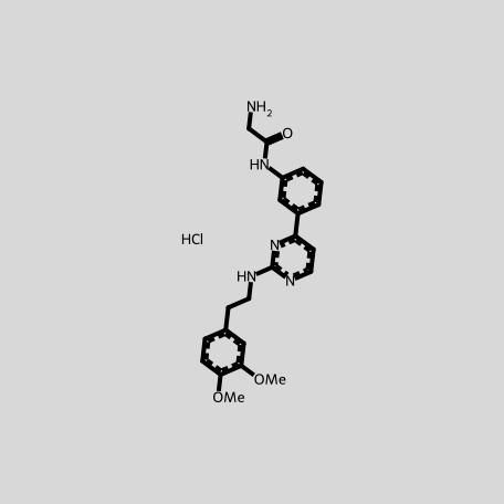 COc1ccc(CCNc2nccc(-c3cccc(NC(=O)CN)c3)n2)cc1OC.Cl